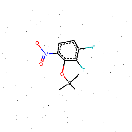 C[Si](C)(C)Oc1c([N+](=O)[O-])ccc(F)c1F